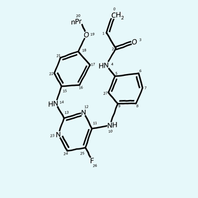 C=CC(=O)Nc1cccc(Nc2nc(Nc3ccc(OCCC)cc3)ncc2F)c1